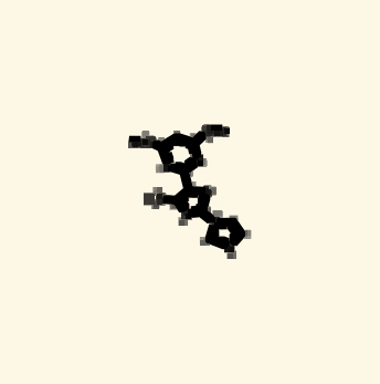 COc1cc(OC)nc(-c2sc(-n3ccnc3)nc2C)n1